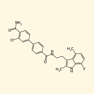 Cc1[nH]c2c(F)ccc(C)c2c1CCNC(=O)c1ccc(-c2ccc(C(N)=O)c(Cl)c2)cc1